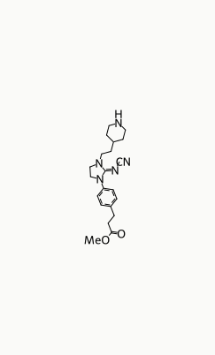 COC(=O)CCc1ccc(N2CCN(CCC3CCNCC3)C2=NC#N)cc1